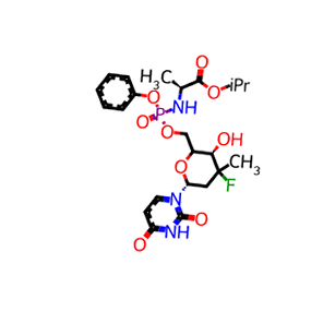 CC(C)OC(=O)[C@H](C)NP(=O)(OCC1O[C@@H](n2ccc(=O)[nH]c2=O)CC(C)(F)[C@@H]1O)Oc1ccccc1